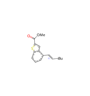 CCC(C)/C=C/c1cccc2sc(C(=O)OC)cc12